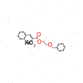 CC(=O)C(=Cc1ccccc1[N+](=O)[O-])C(=O)OCCOCc1ccccc1